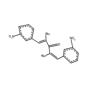 CC(C)(C)C(=Cc1cccc([N+](=O)[O-])c1)C(=O)C(=Cc1cccc([N+](=O)[O-])c1)C(C)(C)C